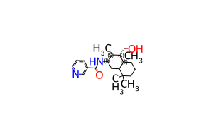 C[C@@H]1[C@H](NC(=O)c2cccnc2)CC2C(C)(C)CCC[C@]2(C)[C@H]1CO